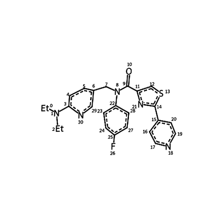 CCN(CC)c1ccc(CN(C(=O)c2csc(-c3ccncc3)n2)c2ccc(F)cc2)cn1